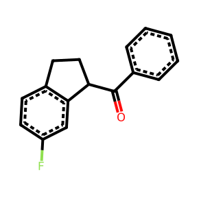 O=C(c1ccccc1)C1CCc2ccc(F)cc21